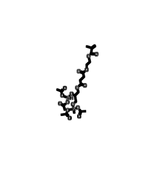 C=C(C)C(=O)OCCOC(=O)CCC(=O)OCC(CO[Si](C)(OC(C)=O)OC(C)=O)O[SiH](OC(C)=O)OC(C)=O